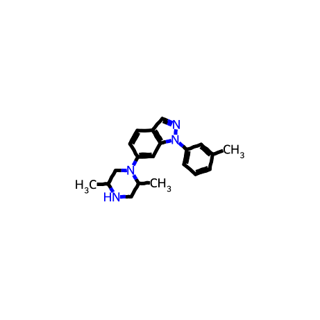 Cc1cccc(-n2ncc3ccc(N4CC(C)NCC4C)cc32)c1